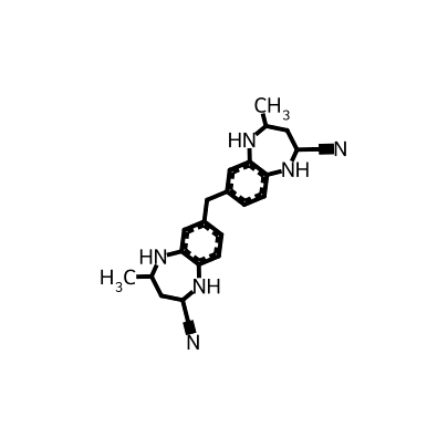 CC1CC(C#N)Nc2ccc(Cc3ccc4c(c3)NC(C)CC(C#N)N4)cc2N1